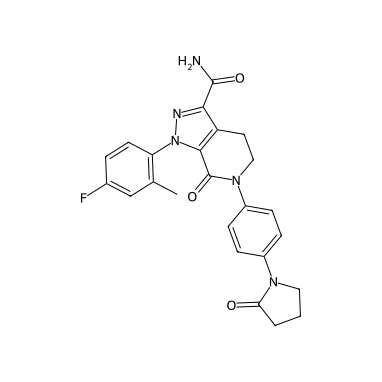 Cc1cc(F)ccc1-n1nc(C(N)=O)c2c1C(=O)N(c1ccc(N3CCCC3=O)cc1)CC2